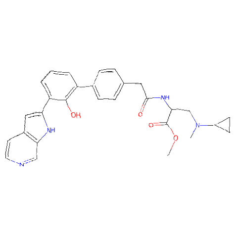 COC(=O)C(CN(C)C1CC1)NC(=O)Cc1ccc(-c2cccc(-c3cc4ccncc4[nH]3)c2O)cc1